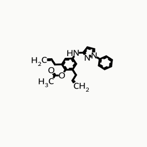 C=CCc1cc(Nc2ccn(-c3ccccc3)n2)cc(CC=C)c1OC(C)=O